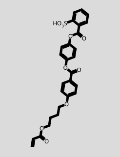 C=CC(=O)OCCCCOc1ccc(C(=O)Oc2ccc(OC(=O)c3ccccc3S(=O)(=O)O)cc2)cc1